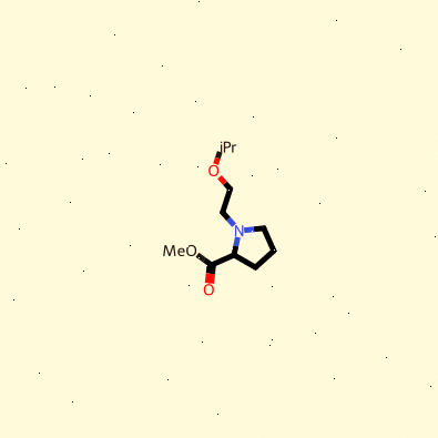 COC(=O)C1CCCN1CCOC(C)C